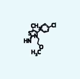 COCCn1c(-c2ccc(Cl)cc2)c(C)sc1=N